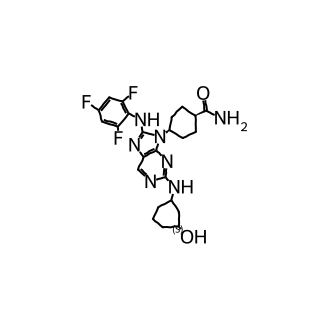 NC(=O)[C@H]1CC[C@@H](n2c(Nc3c(F)cc(F)cc3F)nc3cnc(NC4CCC[C@H](O)C4)nc32)CC1